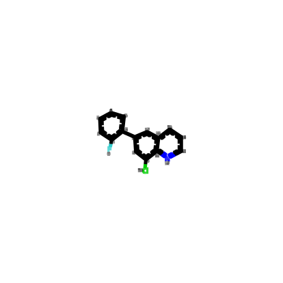 Fc1ccc[c]c1-c1cc(Cl)c2ncccc2c1